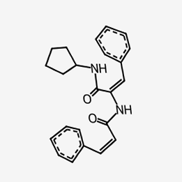 O=C(/C=C\c1ccccc1)NC(=Cc1ccccc1)C(=O)NC1CCCC1